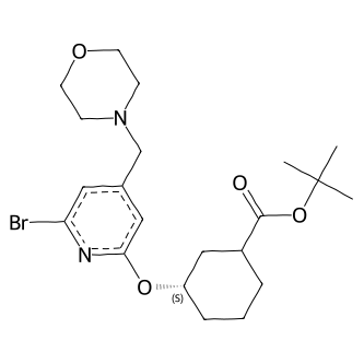 CC(C)(C)OC(=O)C1CCC[C@H](Oc2cc(CN3CCOCC3)cc(Br)n2)C1